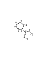 C/C=C(\CI)c1ccccc1